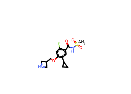 CS(=O)(=O)NC(=O)c1cc(C2CC2)c(OCC2CNC2)cc1F